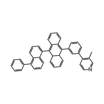 Cc1cnccc1-c1cccc(C2=c3ccccc3=C(c3cccc4c(-c5ccccc5)cccc34)C3C=CC=CC23)c1